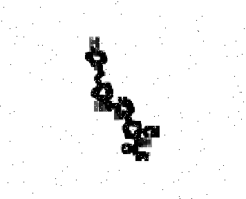 CC(C)C(=O)Nc1ccc(-c2ccnc(Nc3ccc(CCN4CCNCC4)cc3)n2)cc1C#N